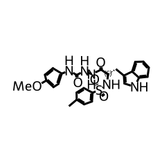 COc1ccc(NC(=O)NNC(=O)[C@H](Cc2c[nH]c3ccccc23)NS(=O)(=O)c2ccc(C)cc2)cc1